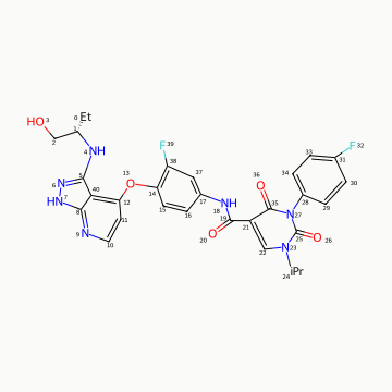 CC[C@@H](CO)Nc1n[nH]c2nccc(Oc3ccc(NC(=O)c4cn(C(C)C)c(=O)n(-c5ccc(F)cc5)c4=O)cc3F)c12